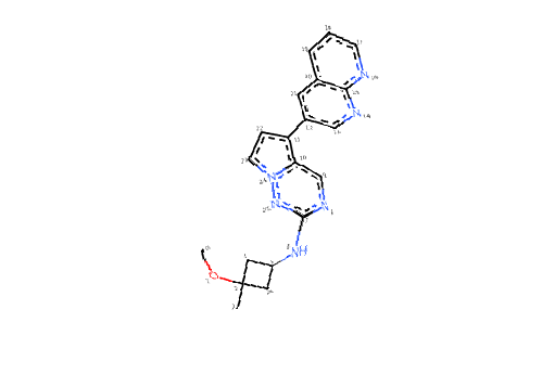 COC1(C)CC(Nc2ncc3c(-c4cnc5ncccc5c4)ccn3n2)C1